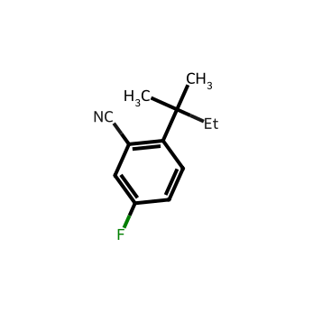 CCC(C)(C)c1ccc(F)cc1C#N